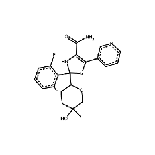 CC1(O)CCC(C2(c3c(F)cccc3F)NC(C(N)=O)=C(c3cccnc3)S2)OC1